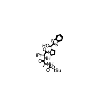 CC(C)[C@H](NC(=O)[C@H](C)NC(=O)OC(C)(C)C)C(=O)N1CCC[C@H]1C(O)c1nc2ccccc2s1